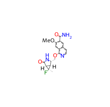 COc1cc2c(OC[C@H]3NC(=O)[C@H]4[C@@H]3[C@@]4(C)F)nccc2cc1C(N)=O